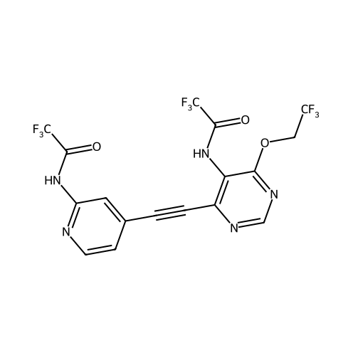 O=C(Nc1cc(C#Cc2ncnc(OCC(F)(F)F)c2NC(=O)C(F)(F)F)ccn1)C(F)(F)F